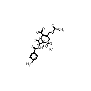 CC(=O)OCC1=C(C(=O)[O-])N2C(=O)[C@@H](NC(=O)c3ccc(C)cc3)[C@@H]2S(=O)(=O)C1.[K+]